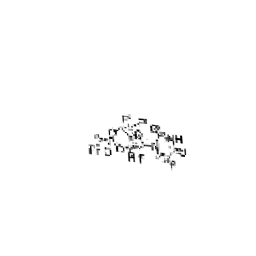 CC(C)OP1(=S)OC[C@@]2(C(F)F)O[C@@H](n3cc(F)c(=O)[nH]c3=O)[C@H](F)[C@@H]2O1